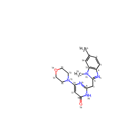 Bc1ccc2nc(Cc3nc(N4CCOCC4)cc(=O)[nH]3)n(C)c2c1